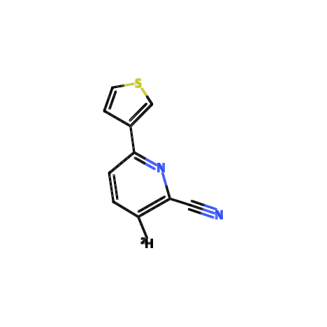 [2H]c1ccc(-c2ccsc2)nc1C#N